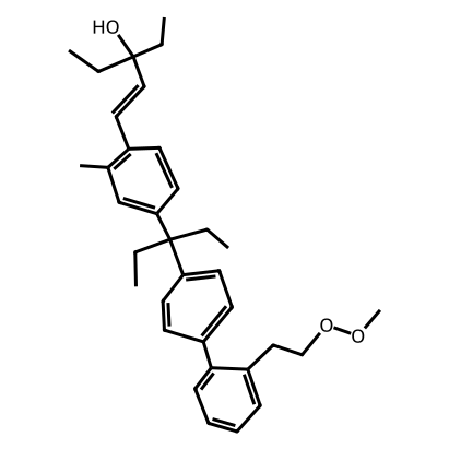 CCC(O)(/C=C/c1ccc(C(CC)(CC)c2ccc(-c3ccccc3CCOOC)cc2)cc1C)CC